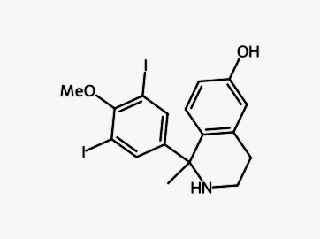 COc1c(I)cc(C2(C)NCCc3cc(O)ccc32)cc1I